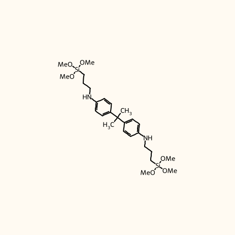 CO[Si](CCCNc1ccc(C(C)(C)c2ccc(NCCC[Si](OC)(OC)OC)cc2)cc1)(OC)OC